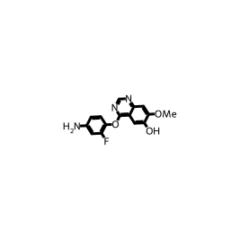 COc1cc2ncnc(Oc3ccc(N)cc3F)c2cc1O